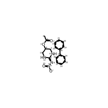 CC(=O)OC1CNC(=N[N+](=O)[O-])NC1.c1ccc(-c2ccccc2)cc1